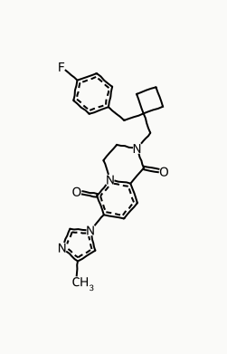 Cc1cn(-c2ccc3n(c2=O)CCN(CC2(Cc4ccc(F)cc4)CCC2)C3=O)cn1